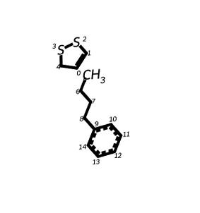 C1=CSSC1.CCCCc1ccccc1